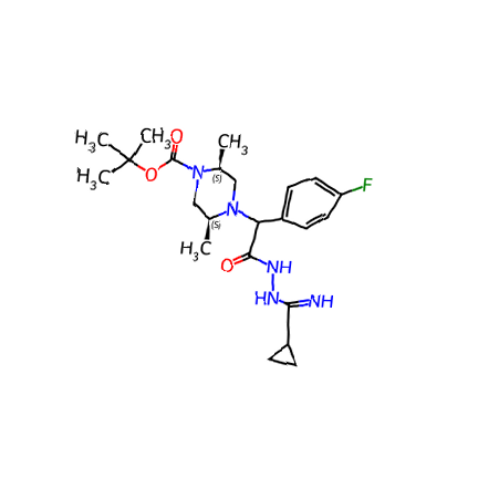 C[C@H]1CN(C(C(=O)NNC(=N)C2CC2)c2ccc(F)cc2)[C@@H](C)CN1C(=O)OC(C)(C)C